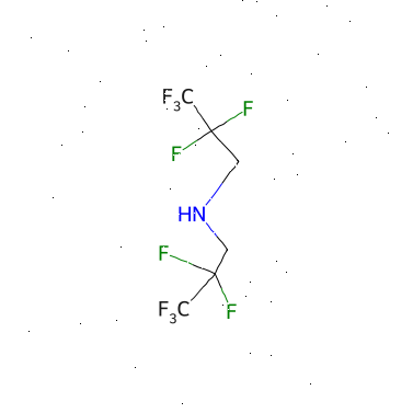 FC(F)(F)C(F)(F)CNCC(F)(F)C(F)(F)F